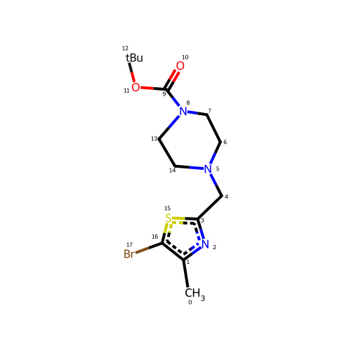 Cc1nc(CN2CCN(C(=O)OC(C)(C)C)CC2)sc1Br